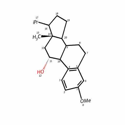 COc1ccc2c(c1)CCC1C2[C@H](O)C[C@]2(C)C(C(C)C)CCC12